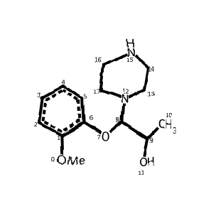 COc1ccccc1OC(C(C)O)N1CCNCC1